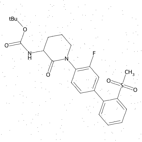 CC(C)(C)OC(=O)NC1CCCN(c2ccc(-c3ccccc3S(C)(=O)=O)cc2F)C1=O